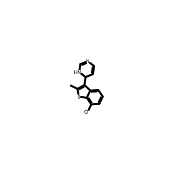 Cc1sc2c(Cl)cccc2c1C1C=CN=CN1